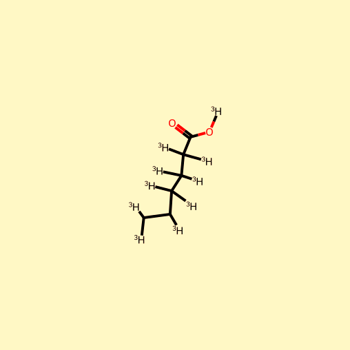 [3H]OC(=O)C([3H])([3H])C([3H])([3H])C([3H])([3H])C([3H])C([3H])[3H]